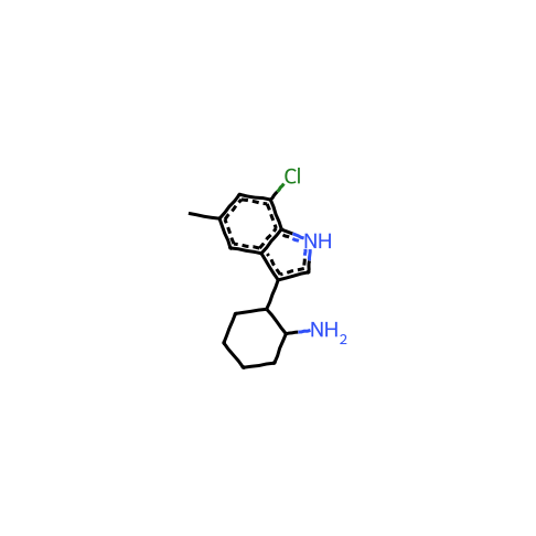 Cc1cc(Cl)c2[nH]cc(C3CCCCC3N)c2c1